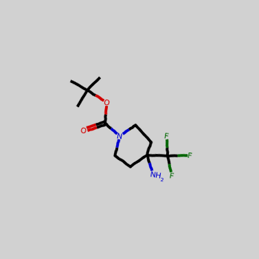 CC(C)(C)OC(=O)N1CCC(N)(C(F)(F)F)CC1